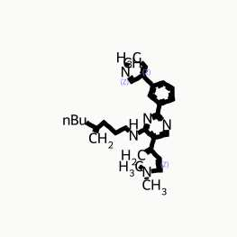 C=C(CCCC)CCCNc1nc(-c2cccc(C(/C=N\C)=C/C)c2)ncc1C(=C)/C=C\N(C)C